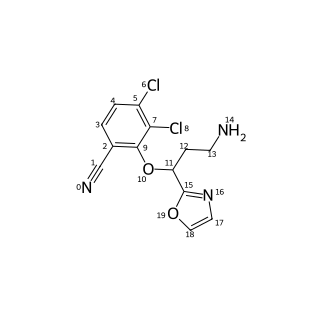 N#Cc1ccc(Cl)c(Cl)c1OC(CCN)c1ncco1